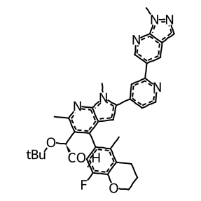 Cc1nc2c(cc(-c3ccnc(-c4cnc5c(cnn5C)c4)c3)n2C)c(-c2cc(F)c3c(c2C)CCCO3)c1[C@H](OC(C)(C)C)C(=O)O